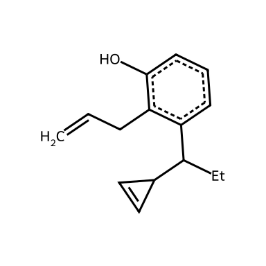 C=CCc1c(O)cccc1C(CC)C1C=C1